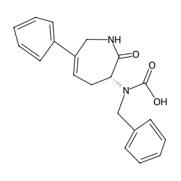 O=C1NCC(c2ccccc2)=CC[C@H]1N(Cc1ccccc1)C(=O)O